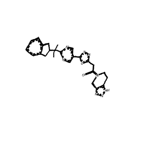 CC(C)(c1ncc(-c2nnc(CC(=O)N3CCc4[nH]nnc4C3)o2)cn1)C1Cc2ccccc2C1